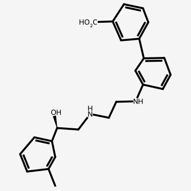 Cc1cccc([C@@H](O)CNCCNc2cccc(-c3cccc(C(=O)O)c3)c2)c1